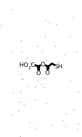 O=C(CS)OC(=O)C(=O)O